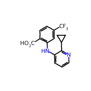 O=C(O)c1ccc(C(F)(F)F)cc1Nc1cccnc1C1CC1